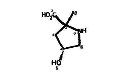 CC1(C(=O)O)C[C@@H](O)CN1